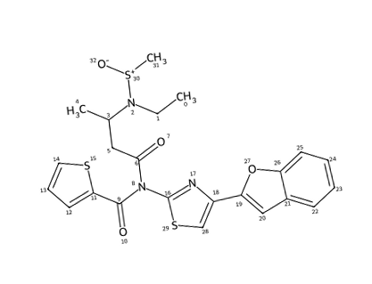 CCN(C(C)CC(=O)N(C(=O)c1cccs1)c1nc(-c2cc3ccccc3o2)cs1)[S+](C)[O-]